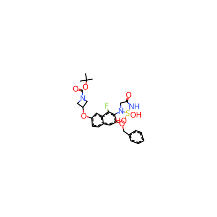 CC(C)(C)OC(=O)N1CC(Oc2ccc3cc(OCc4ccccc4)c(N4CC(=O)NS4(O)O)c(F)c3c2)C1